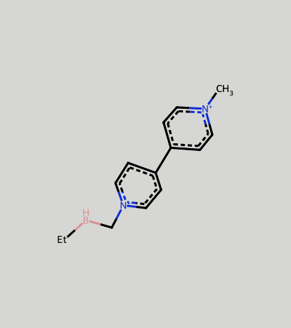 CCBC[n+]1ccc(-c2cc[n+](C)cc2)cc1